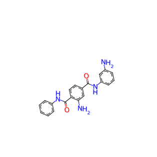 Nc1cccc(NC(=O)c2ccc(C(=O)Nc3ccccc3)c(N)c2)c1